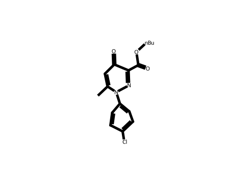 CCCCOC(=O)c1nn(-c2ccc(Cl)cc2)c(C)cc1=O